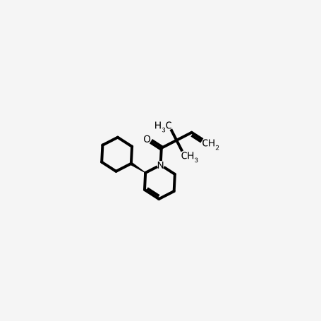 C=CC(C)(C)C(=O)N1CCC=C[C@H]1C1CCCCC1